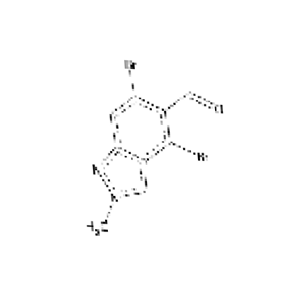 Cn1cc2c(Br)c(C=O)c(Br)cc2n1